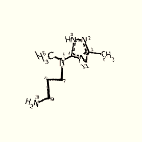 Cc1n[nH]c(N(C)CCCN)n1